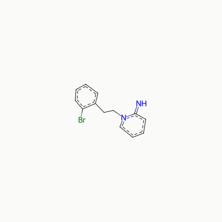 N=c1ccccn1CCc1ccccc1Br